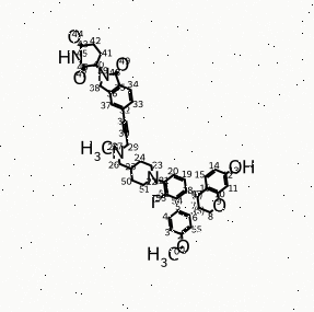 COc1cccc([C@H]2COc3cc(O)ccc3[C@H]2c2ccc(N3CCC(CN(C)CC#Cc4ccc5c(c4)CN(C4CCC(=O)NC4=O)C5=O)CC3)c(F)c2)c1